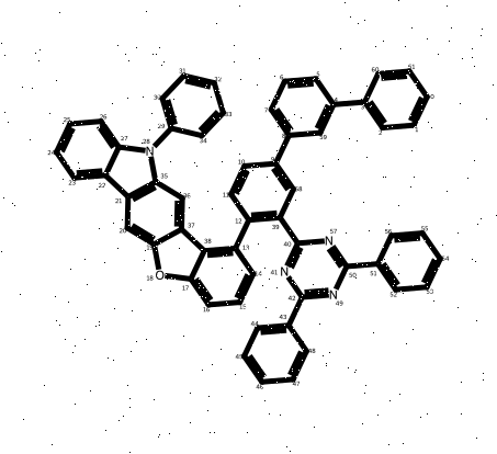 c1ccc(-c2cccc(-c3ccc(-c4cccc5oc6cc7c8ccccc8n(-c8ccccc8)c7cc6c45)c(-c4nc(-c5ccccc5)nc(-c5ccccc5)n4)c3)c2)cc1